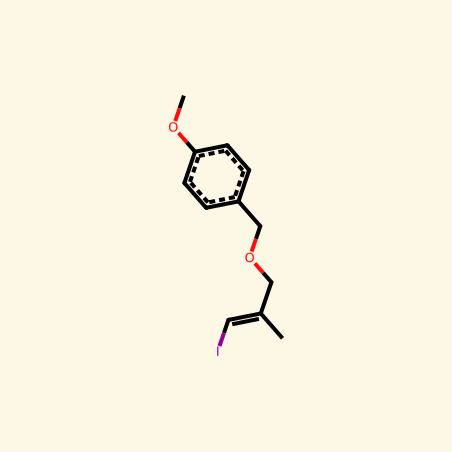 COc1ccc(COCC(C)=CI)cc1